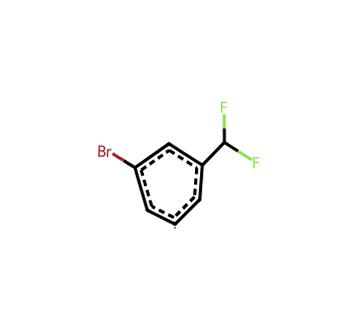 FC(F)c1c[c]cc(Br)c1